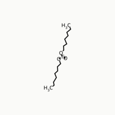 CCCCCCCC[O][Ti](=[O])[O]CCCCCCCC